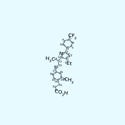 CCc1sc(-c2ccc(C(F)(F)F)cc2)nc1C(C)CSc1ccc(CCC(=O)O)c(C)c1